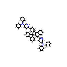 c1ccc(N(c2ccccc2)c2ccc(-c3ccc4c(c3)C(c3ccccc3)(c3ccccc3)c3cc(-c5ccc(N(c6ccccc6)c6ccccc6)cn5)c5ccccc5c3-4)nc2)cc1